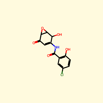 O=C(NC1=CC(=O)C2OC2C1O)c1cc(Cl)ccc1O